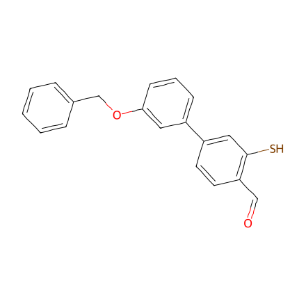 O=Cc1ccc(-c2cccc(OCc3ccccc3)c2)cc1S